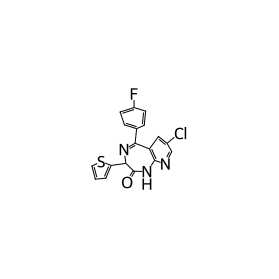 O=C1Nc2ncc(Cl)cc2C(c2ccc(F)cc2)=NC1c1cccs1